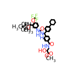 COC(=O)[C@H](O)CNC(=O)c1ccc(C(NC(=O)Nc2ccc(OC(F)(F)F)c(CO[Si](C)(C)C(C)(C)C)c2)c2ccc(C3CCCCC3)cc2)cc1